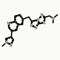 CN(C)Cc1nn2c(Cc3ccc4ncc(-c5cnn(C)c5)cc4c3)nnc2s1